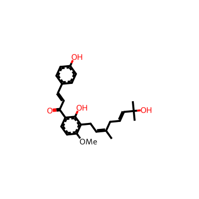 COc1ccc(C(=O)C=Cc2ccc(O)cc2)c(O)c1CC=C(C)CC=CC(C)(C)O